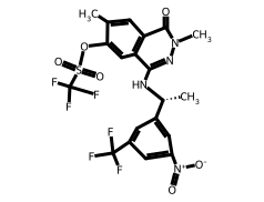 Cc1cc2c(=O)n(C)nc(N[C@H](C)c3cc([N+](=O)[O-])cc(C(F)(F)F)c3)c2cc1OS(=O)(=O)C(F)(F)F